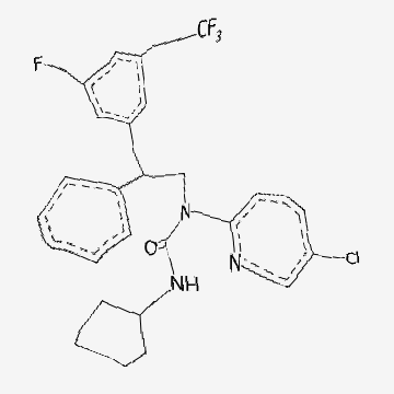 O=C(NC1CCCC1)N(CC(c1ccccc1)c1cc(F)cc(C(F)(F)F)c1)c1ccc(Cl)cn1